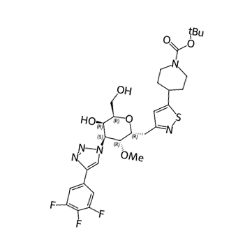 CO[C@@H]1[C@@H](n2cc(-c3cc(F)c(F)c(F)c3)nn2)[C@@H](O)[C@@H](CO)O[C@@H]1Cc1cc(C2CCN(C(=O)OC(C)(C)C)CC2)sn1